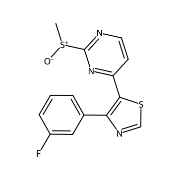 C[S+]([O-])c1nccc(-c2scnc2-c2cccc(F)c2)n1